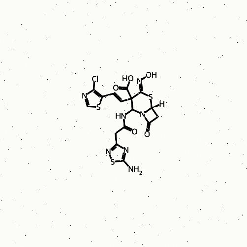 Nc1nc(CC(=O)NC2N3C(=O)C[C@H]3SC(=NO)C2(C=Cc2scnc2Cl)C(=O)O)ns1